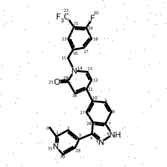 Cc1cc(-c2n[nH]c3ccc(-c4ccn(Cc5ccc(F)c(C(F)(F)F)c5)c(=O)c4)cc23)ccn1